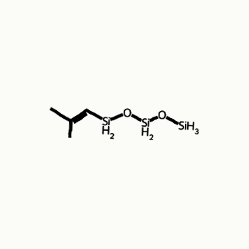 CC(C)=C[SiH2]O[SiH2]O[SiH3]